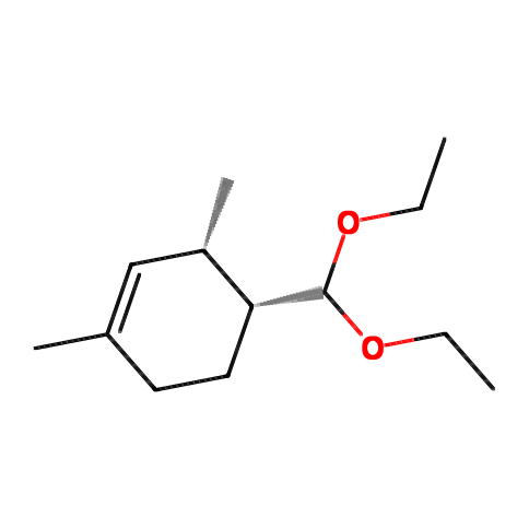 CCOC(OCC)[C@@H]1CCC(C)=C[C@@H]1C